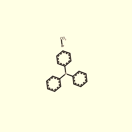 ClC(Cl)(Cl)Br.c1ccc(P(c2ccccc2)c2ccccc2)cc1